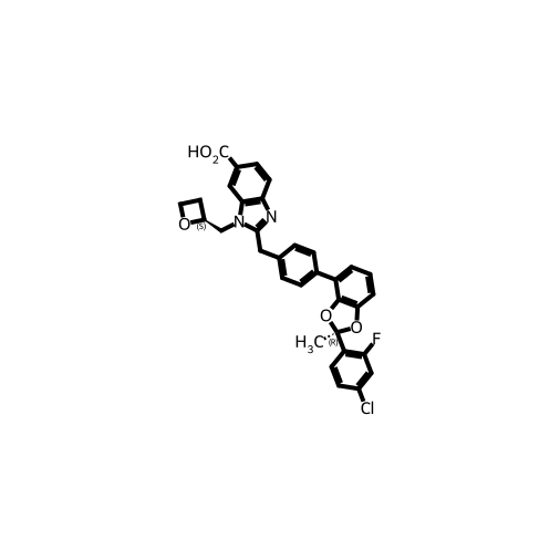 C[C@@]1(c2ccc(Cl)cc2F)Oc2cccc(-c3ccc(Cc4nc5ccc(C(=O)O)cc5n4C[C@@H]4CCO4)cc3)c2O1